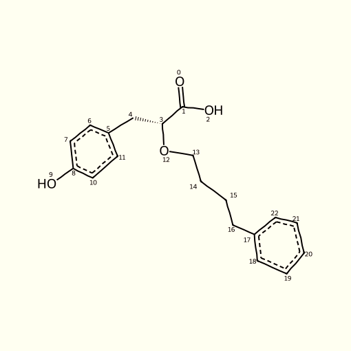 O=C(O)[C@@H](Cc1ccc(O)cc1)OCCCCc1ccccc1